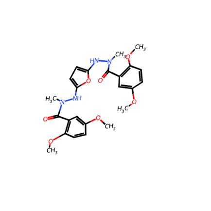 COc1ccc(OC)c(C(=O)N(C)Nc2ccc(NN(C)C(=O)c3cc(OC)ccc3OC)o2)c1